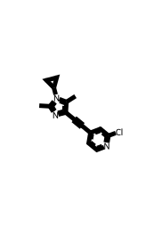 Cc1nc(C#Cc2ccnc(Cl)c2)c(C)n1C1CC1